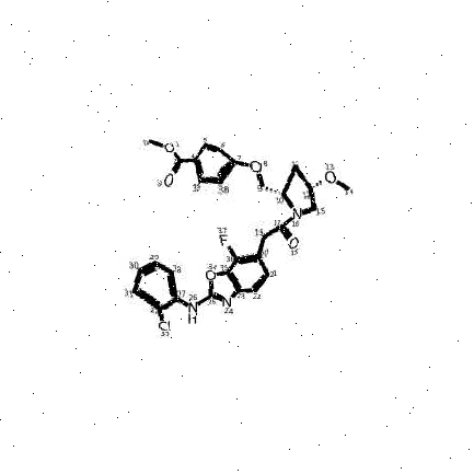 COC(=O)c1ccc(OC[C@@H]2C[C@H](OC)CN2C(=O)Cc2ccc3nc(Nc4ccccc4Cl)oc3c2F)cc1